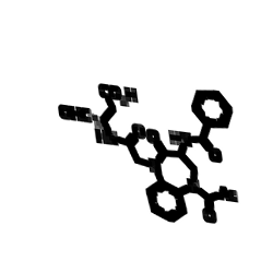 CC(=O)C(=O)N1CC(NC(=O)c2ccccc2)C(=O)N(CC(=O)N[C@H](C=O)CC(=O)O)c2ccccc21